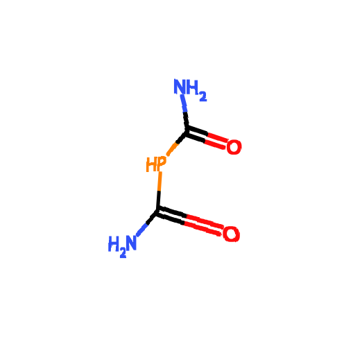 NC(=O)PC(N)=O